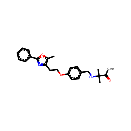 COC(=O)C(C)(C)NCc1ccc(OCCc2nc(-c3ccccc3)oc2C)cc1